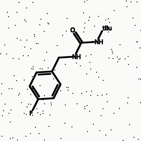 CC(C)(C)NC(=O)NCc1ccc(F)cc1